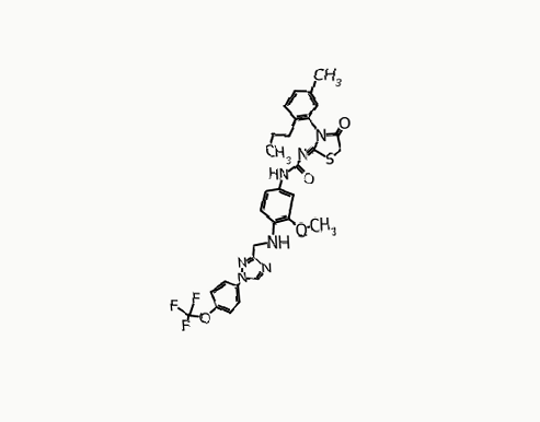 CCCc1ccc(C)cc1N1C(=O)CSC1=NC(=O)Nc1ccc(NCc2ncn(-c3ccc(OC(F)(F)F)cc3)n2)c(OC)c1